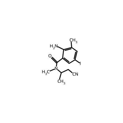 Cc1cc(I)cc(C(=O)N(C)C(C)CC#N)c1N